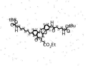 CCOC(=O)CCN1CC(=O)N(Cc2ccc(NC(=O)CCCNC(=O)OC(C)(C)C)cc2)c2ccc(CCCCCCNC(=O)OC(C)(C)C)cc2C1=O